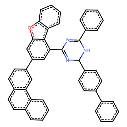 c1ccc(C2=NC(c3cc(-c4ccc5ccc6ccccc6c5c4)cc4oc5ccccc5c34)=NC(c3ccc(-c4ccccc4)cc3)N2)cc1